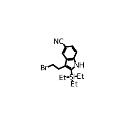 CC[Si](CC)(CC)c1[nH]c2ccc(C#N)cc2c1CCBr